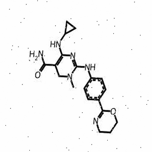 CN1CC(C(N)=O)=C(NC2CC2)N=C1Nc1ccc(C2=NCCCO2)cc1